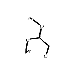 CC(C)OC(CCl)OC(C)C